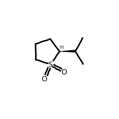 CC(C)[C@@H]1CCCS1(=O)=O